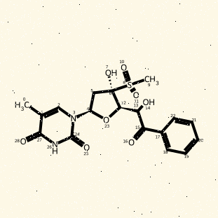 Cc1cn([C@H]2C[C@@](O)(S(C)(=O)=O)[C@@H](C(O)C(=O)c3ccccc3)O2)c(=O)[nH]c1=O